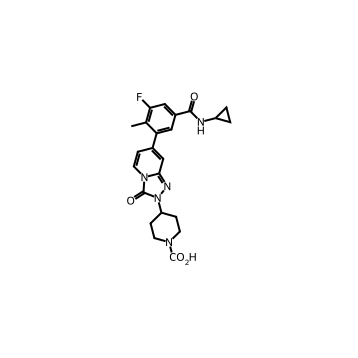 Cc1c(F)cc(C(=O)NC2CC2)cc1-c1ccn2c(=O)n(C3CCN(C(=O)O)CC3)nc2c1